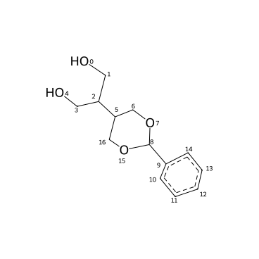 OCC(CO)C1COC(c2ccccc2)OC1